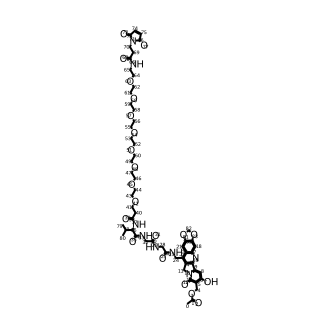 CC(=O)OCc1c(O)cc2n(c1=O)Cc1c-2nc2cc3c(cc2c1CNC(=O)CNC(=O)CNC(=O)C(NC(=O)CCOCCOCCOCCOCCOCCOCCOCCOCCNC(=O)CCN1C(=O)C=CC1=O)C(C)C)OCO3